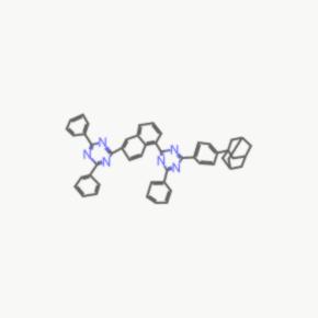 c1ccc(-c2nc(-c3ccccc3)nc(-c3ccc4c(-c5nc(-c6ccccc6)nc(-c6ccc(C78CC9CC(CC(C9)C7)C8)cc6)n5)cccc4c3)n2)cc1